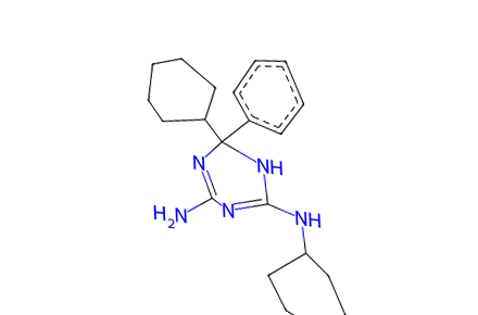 NC1=NC(c2ccccc2)(C2CCCCC2)NC(NC2CCCCC2)=N1